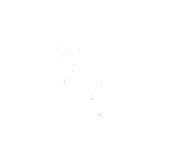 CC(C)=CCCC(C)=CCCC(C)(Cl)C(Cl)CCC(C)CC(=O)NCC[N+](C)(C)C